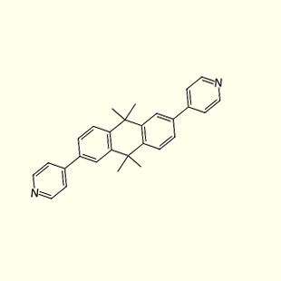 CC1(C)c2ccc(-c3ccncc3)cc2C(C)(C)c2ccc(-c3ccncc3)cc21